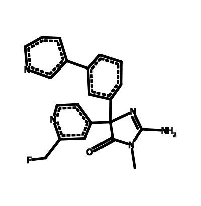 CN1C(=O)C(c2cccc(-c3cccnc3)c2)(c2ccnc(CF)c2)N=C1N